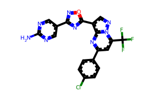 Nc1ncc(-c2noc(-c3cnn4c(C(F)(F)F)cc(-c5ccc(Cl)cc5)nc34)n2)cn1